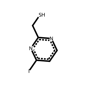 SCc1nccc(I)n1